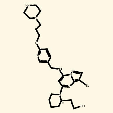 CCc1cnn2c(NCc3ccc(OCCCN4CCNCC4)nc3)cc(N3CCCC[C@@H]3CCO)nc12